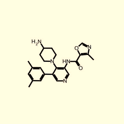 Cc1cc(C)cc(-c2cncc(NC(=O)c3ocnc3C)c2N2CCC(N)CC2)c1